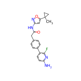 CC1(c2cc(NC(=O)Cc3ccc(-c4ccc(N)nc4F)cc3)no2)CC1